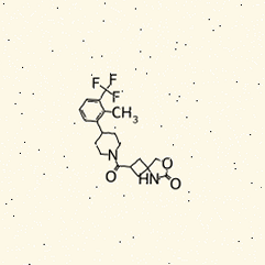 Cc1c(C2CCN(C(=O)C3CC4(COC(=O)N4)C3)CC2)cccc1C(F)(F)F